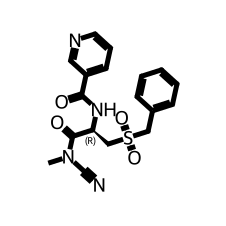 CN(C#N)C(=O)[C@H](CS(=O)(=O)Cc1ccccc1)NC(=O)c1cccnc1